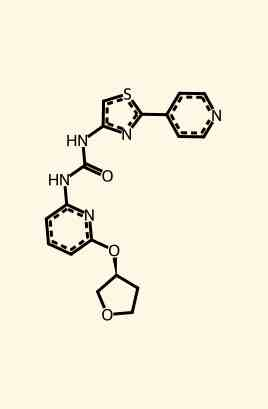 O=C(Nc1cccc(O[C@H]2CCOC2)n1)Nc1csc(-c2ccncc2)n1